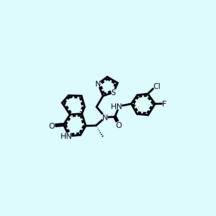 C[C@H](c1c[nH]c(=O)c2ccccc12)N(Cc1nccs1)C(=O)Nc1ccc(F)c(Cl)c1